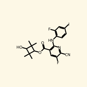 CC1(C)C(O)C(C)(C)C1OC(=O)c1cc(F)c(C#N)nc1Nc1ccc(I)cc1F